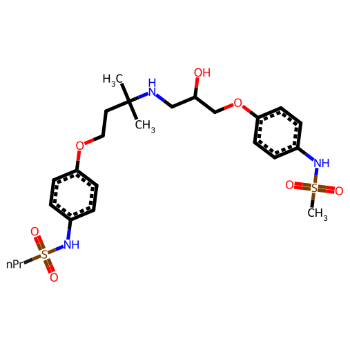 CCCS(=O)(=O)Nc1ccc(OCCC(C)(C)NCC(O)COc2ccc(NS(C)(=O)=O)cc2)cc1